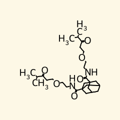 CC(C)C(=O)CCOCCNC(=O)C12CC3CC(C1)CC(C(=O)NCCOCCC(=O)C(C)C)(C3)C2